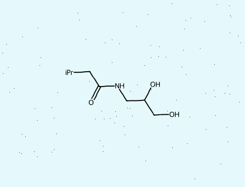 CC(C)CC(=O)NCC(O)CO